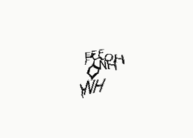 CC(C)Nc1ccc2c(c1)NC(O)=C(F)C2C(F)(F)F